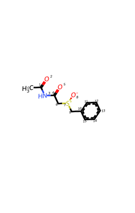 CC(=O)NC(=O)C[S+]([O-])Cc1ccccc1